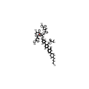 C=C(C)C(=O)OCc1cc(-c2ccc(C3CCC(CCCCC)CC3)cc2F)ccc1-c1ccc(OCC(COC(=O)C(=C)C)(COC(=O)C(=C)CC(=O)OC)COC(=O)C(=C)CC(=O)OC)cc1